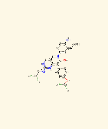 CN/C=C1/C=C(n2cc3cnc(NCC(F)F)nc3c(-c3ccc(OC(F)F)cc3)c2=O)C=CC1=N